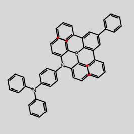 c1ccc(-c2cc(-c3ccccc3)c(B3c4ccccc4N(c4ccc(N(c5ccccc5)c5ccccc5)cc4)c4ccccc43)c(-c3ccccc3)c2)cc1